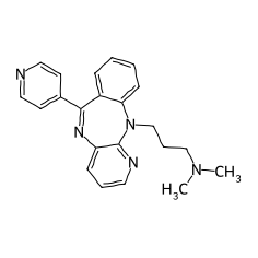 CN(C)CCCN1c2ccccc2C(c2ccncc2)=Nc2cccnc21